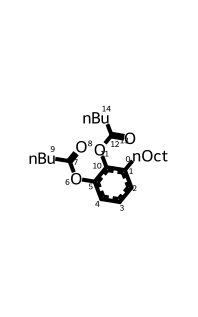 CCCCCCCCc1cccc(OC(=O)CCCC)c1OC(=O)CCCC